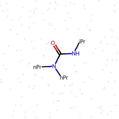 CCCN(CCC)C(=O)NC(C)C